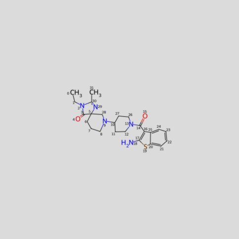 CCN1C(=O)C2(CCCN(C3CCN(C(=O)c4c(N)sc5ccccc45)CC3)C2)N=C1C